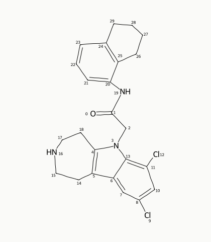 O=C(Cn1c2c(c3cc(Cl)cc(Cl)c31)CCNCC2)Nc1cccc2c1CCCC2